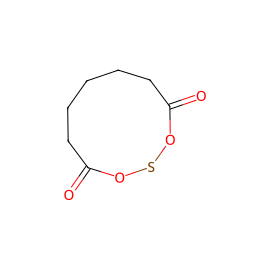 O=C1CCCCCC(=O)OSO1